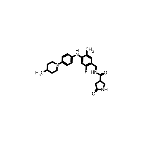 Cc1cc(CNC(=O)C2CNC(=O)C2)c(F)cc1Nc1ccc(N2CCC(C)CC2)cc1